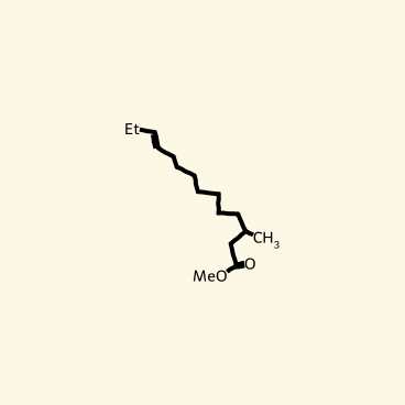 CCC=CCCCCCCCC(C)CC(=O)OC